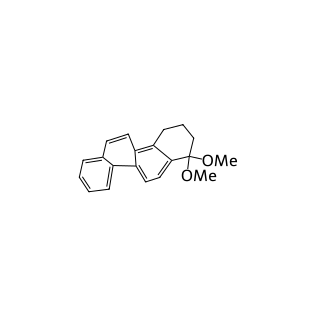 COC1(OC)CCCc2c1ccc1c2ccc2ccccc21